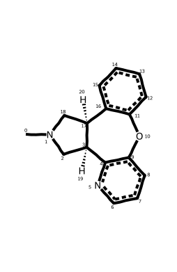 CN1C[C@@H]2c3ncccc3Oc3ccccc3[C@@H]2C1